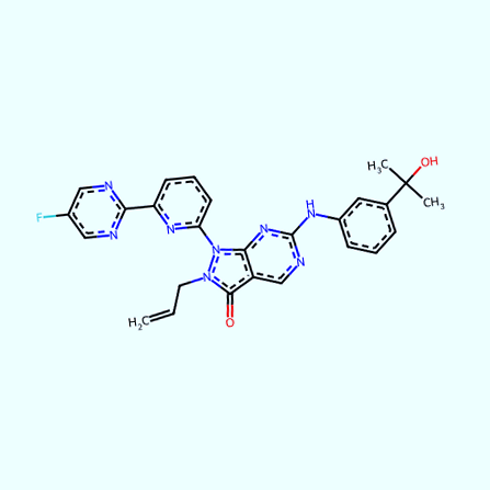 C=CCn1c(=O)c2cnc(Nc3cccc(C(C)(C)O)c3)nc2n1-c1cccc(-c2ncc(F)cn2)n1